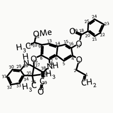 C=CCOc1cc2c3c(c(C(C)OC)cc2cc1OC(=O)c1ccccc1)OC1(Nc2ccccc2C1(C)C)C(=C=O)N3